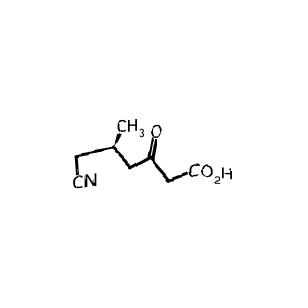 C[C@H](CC#N)CC(=O)CC(=O)O